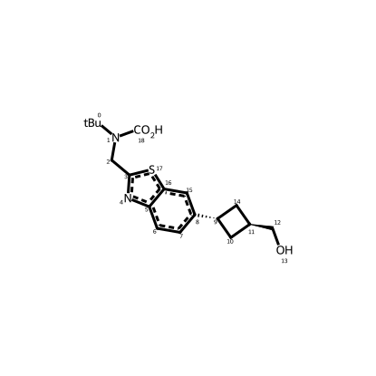 CC(C)(C)N(Cc1nc2ccc([C@H]3C[C@H](CO)C3)cc2s1)C(=O)O